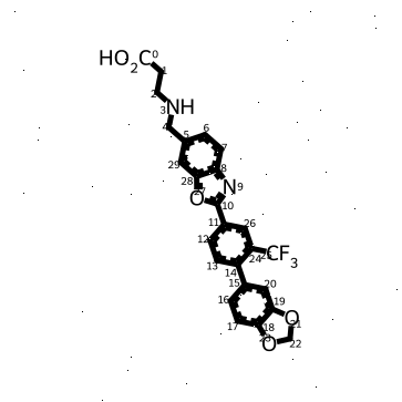 O=C(O)CCNCc1ccc2nc(-c3ccc(-c4ccc5c(c4)OCO5)c(C(F)(F)F)c3)oc2c1